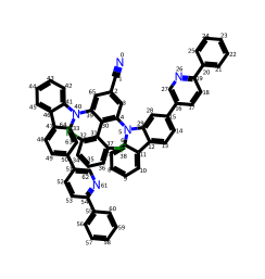 N#Cc1cc(-n2c3ccccc3c3ccc(-c4ccc(-c5ccccc5)nc4)cc32)c(-c2c(F)cccc2F)c(-n2c3ccccc3c3ccc(-c4ccc(-c5ccccc5)nc4)cc32)c1